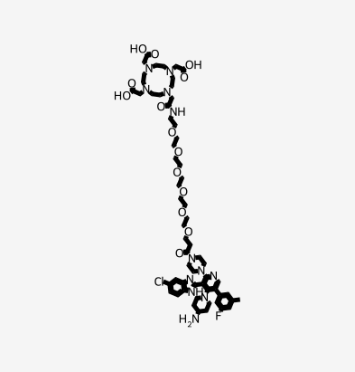 Cc1cc(F)cc(-c2cnc(N3CCN(C(=O)CCOCCOCCOCCOCCOCCOCCNC(=O)CN4CCN(CC(=O)O)CCN(CC(=O)O)CCN(CC(=O)O)CC4)CC3)c(-c3nc4cc(Cl)ccc4[nH]3)c2N2CCC(N)CC2)c1